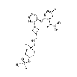 CCN(C(=O)c1cc(F)ccc1Oc1cncnc1N1CC(CNCC2(O)CCC(NS(C)(=O)=O)CC2)C1)C(C)C